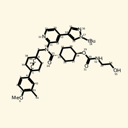 COc1ccc(C23CCC(CN(c4cc(-c5cnn(C(C)(C)C)c5)ccn4)C(=O)[C@H]4CC[C@H](OC(=O)NCCO)CC4)(CC2)CC3)cc1C